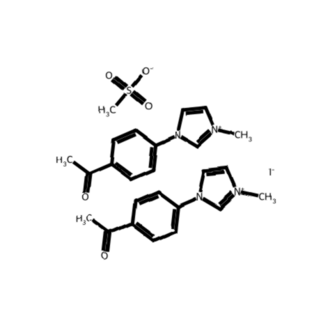 CC(=O)c1ccc(-n2cc[n+](C)c2)cc1.CC(=O)c1ccc(-n2cc[n+](C)c2)cc1.CS(=O)(=O)[O-].[I-]